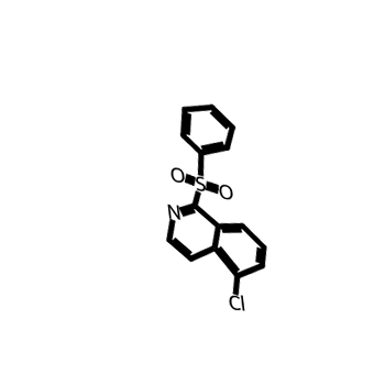 O=S(=O)(c1ccccc1)c1nccc2c(Cl)cccc12